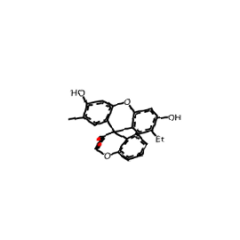 CCc1cc2c(cc1O)Oc1cc(O)c(C)cc1C21c2ccccc2Oc2ccccc21